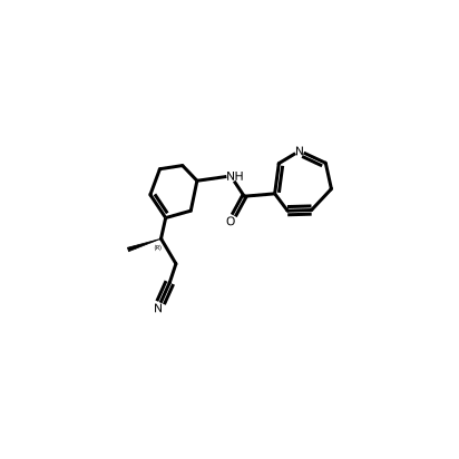 C[C@H](CC#N)C1=CCCC(NC(=O)C2=CN=CCC#C2)C1